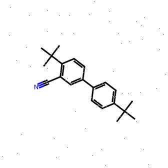 CC(C)(C)c1ccc(-c2ccc(C(C)(C)C)c(C#N)c2)cc1